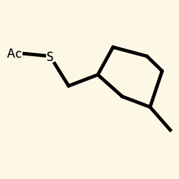 CC(=O)SCC1CCCC(C)C1